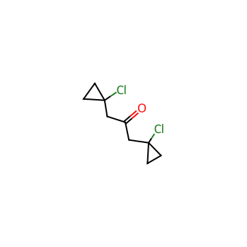 O=C(CC1(Cl)CC1)CC1(Cl)CC1